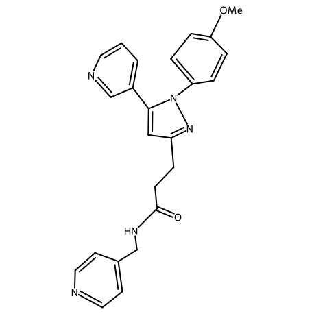 COc1ccc(-n2nc(CCC(=O)NCc3ccncc3)cc2-c2cccnc2)cc1